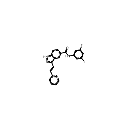 O=C(Nc1cc(F)cc(F)c1)c1ccc2[nH]nc(C=Cc3ccccn3)c2c1